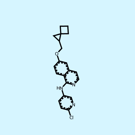 Clc1ccc(Nc2nccc3cc(OCC4CC45CCC5)ccc23)cn1